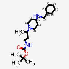 CC(CCNC(=O)OC(C)(C)C)N1CCC(NCC2CCCCC2)CC1